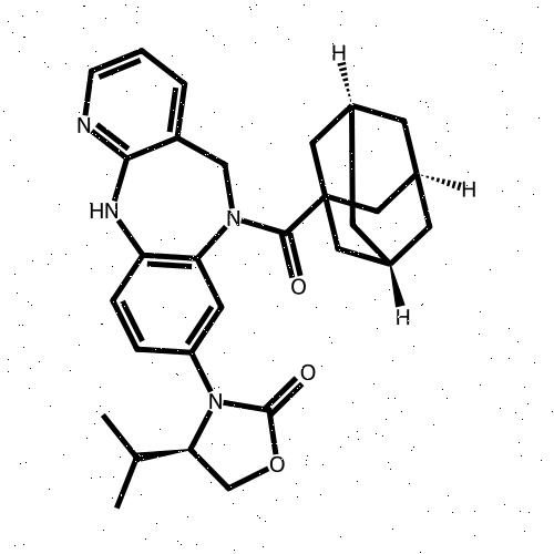 CC(C)[C@@H]1COC(=O)N1c1ccc2c(c1)N(C(=O)C13C[C@H]4C[C@H](C1)C[C@@H](C3)C4)Cc1cccnc1N2